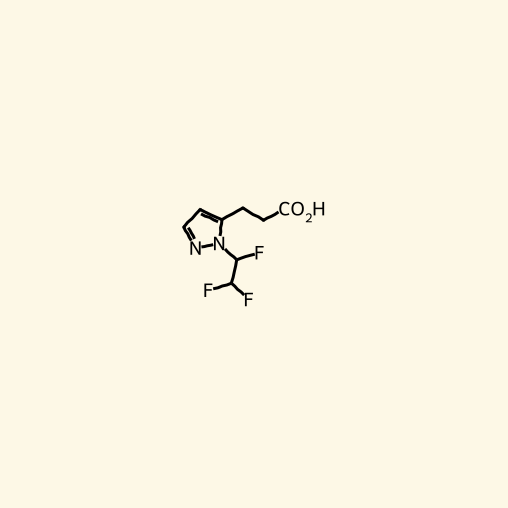 O=C(O)CCc1ccnn1C(F)C(F)F